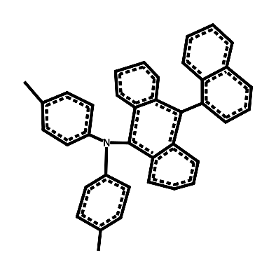 Cc1ccc(N(c2ccc(C)cc2)c2c3ccccc3c(-c3cccc4ccccc34)c3ccccc23)cc1